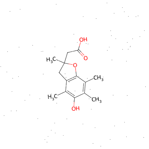 Cc1c(C)c2c(c(C)c1O)CC(C)(CC(=O)O)O2